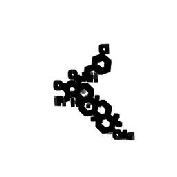 CC(=O)O[C@H]1CC[C@@]2(C)C(CC[C@]3(C)C2CC[C@@H]2C4=C(C(C)C)C(=O)C[C@]4(C(=O)NCc4cccc(Cl)c4)CC[C@]23C)C1(C)C